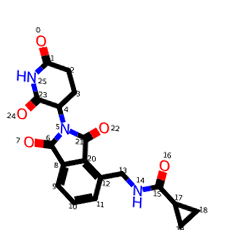 O=C1CCC(N2C(=O)c3cccc(CNC(=O)C4CC4)c3C2=O)C(=O)N1